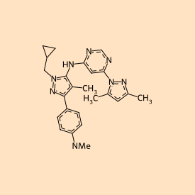 CNc1ccc(-c2nn(CC3CC3)c(Nc3cc(-n4nc(C)cc4C)ncn3)c2C)cc1